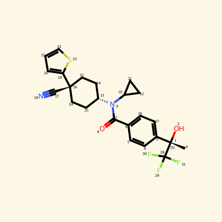 C[C@](O)(c1ccc(C(=O)N(C2CC2)[C@H]2CC[C@@](C#N)(c3cccs3)CC2)cc1)C(F)(F)F